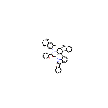 Cc1cc2c(cc1N1c3cc4c(c5c3B(c3oc6ccccc6c31)n1c3sc6ccccc6c3c3cccc-5c31)-c1ccccc1C4(C)C)C(C)(C)CCC2(C)C